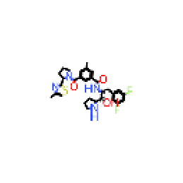 Cc1cc(C(=O)N[C@@H](Cc2cc(F)cc(F)c2)[C@H](O)C2CCCN2)cc(C(=O)N2CCCC2c2nc(C)cs2)c1